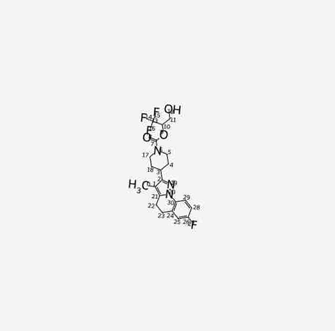 Cc1c(C2CCN(C(=O)OC(CO)C(F)(F)F)CC2)nn2c1CCc1cc(F)ccc1-2